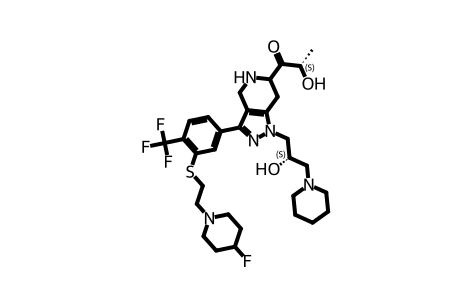 C[C@H](O)C(=O)C1Cc2c(c(-c3ccc(C(F)(F)F)c(SCCN4CCC(F)CC4)c3)nn2C[C@@H](O)CN2CCCCC2)CN1